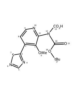 COc1c(-c2ncns2)ccnc1N(C(=O)O)C(=O)OC(C)(C)C